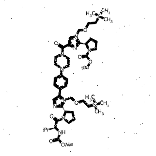 COC(=O)N[C@H](C(=O)N1CCC[C@H]1c1ncc(-c2ccc(N3CCN(C(=O)c4cn(COCC[Si](C)(C)C)c([C@H]5CCCN5C(=O)OC(C)(C)C)n4)CC3)cc2)n1COCC[Si](C)(C)C)C(C)C